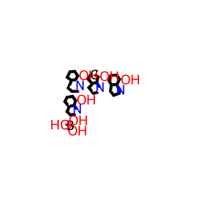 OB(O)O.Oc1cccc2cccnc12.Oc1cccc2cccnc12.Oc1cccc2cccnc12.Oc1cccc2cccnc12